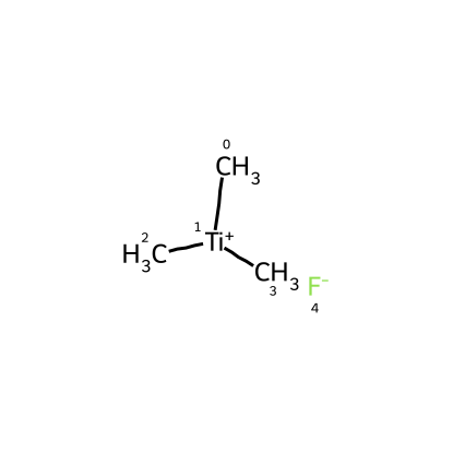 [CH3][Ti+]([CH3])[CH3].[F-]